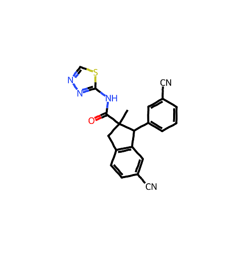 CC1(C(=O)Nc2nncs2)Cc2ccc(C#N)cc2C1c1cccc(C#N)c1